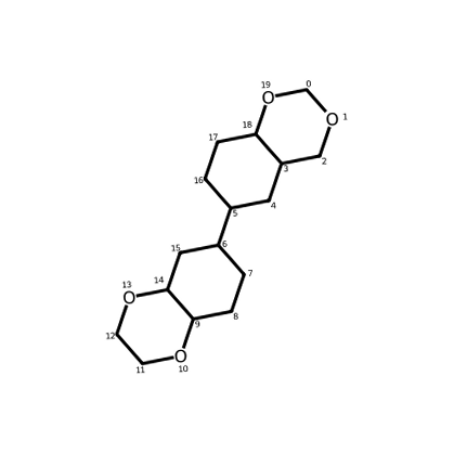 C1OCC2CC(C3CCC4OCCOC4C3)CCC2O1